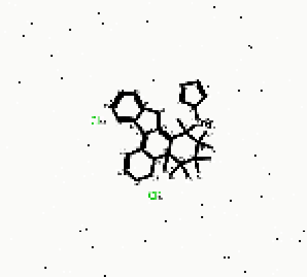 [CH2]=[Zr+2]([CH]1C=CC=C1)[C]1(C)C2=C3Cc4ccccc4C3=C3C=CCCC3C2(C)C(C)(C)C(C)(C)C1(C)C.[Cl-].[Cl-]